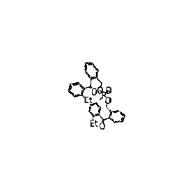 CCc1ccccc1C(=O)c1ccccc1COP(C)(=O)OCc1ccccc1C(=O)c1ccccc1CC